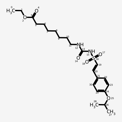 CCOC(=O)CCCCCCCNC(=O)NS(=O)(=O)C=Cc1ccc(OC(C)C)cc1